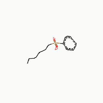 [CH2]CCCCCS(=O)(=O)c1ccccc1